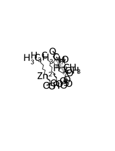 CCCCCCCCC=CC(=O)[O-].CCCCCCCCC=CC(=O)[O-].C[C@]12CCC(=O)C=C1CC[C@@H]1C3CC[C@](O)(C(=O)COS(=O)(=O)O)[C@@]3(C)CC(=O)[C@H]12.[Zn+2]